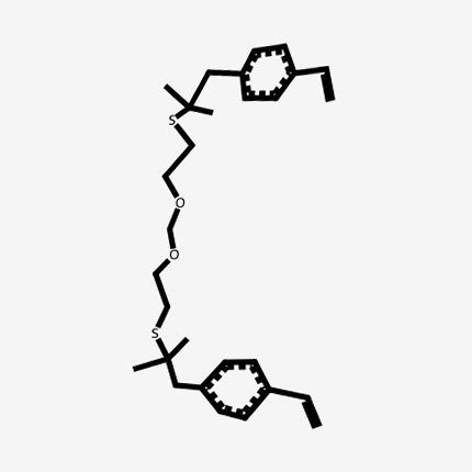 C=Cc1ccc(CC(C)(C)SCCOCOCCSC(C)(C)Cc2ccc(C=C)cc2)cc1